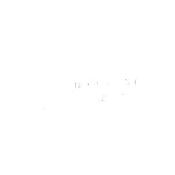 COc1ccc(C(N)CC(=O)N[C@H](C(=O)[C@@H]2C(=O)NC(=O)[C@H]2C)C(C)C)cc1